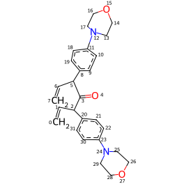 C=CC(C(=O)C(C=C)c1ccc(N2CCOCC2)cc1)c1ccc(N2CCOCC2)cc1